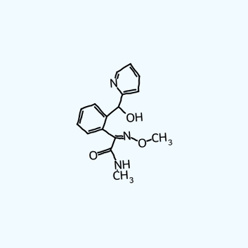 CNC(=O)C(=NOC)c1ccccc1C(O)c1ccccn1